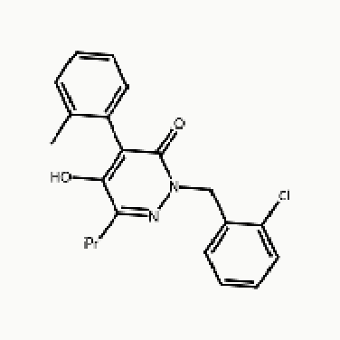 Cc1ccccc1-c1c(O)c(C(C)C)nn(Cc2ccccc2Cl)c1=O